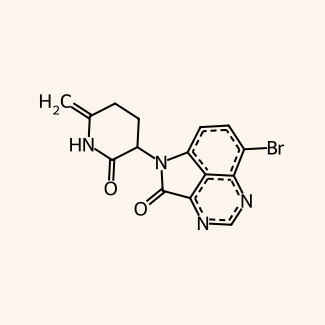 C=C1CCC(N2C(=O)c3ncnc4c(Br)ccc2c34)C(=O)N1